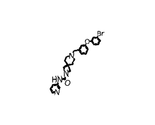 O=C(Nc1cccnc1)N1CC2(CCN(Cc3cccc(Oc4cccc(Br)c4)c3)CC2)C1